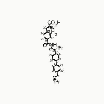 CC(C)OCc1ccc(-c2ccc([C@H](CNC(=O)c3ccc(C[C@@H](N)C(=O)O)cc3)C(C)C)cc2)cc1